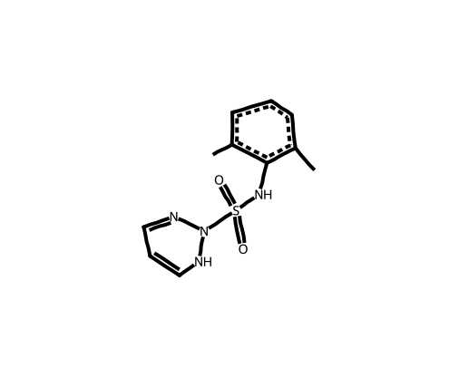 Cc1cccc(C)c1NS(=O)(=O)N1N=CC=CN1